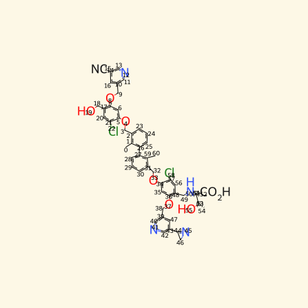 Cc1c(COc2cc(OCc3cncc(C#N)c3)c(CO)cc2Cl)cccc1-c1cccc(COc2cc(OCc3cncc(C4=NC4)c3)c(CN[C@@H](C(=O)O)[C@H](C)O)cc2Cl)c1C